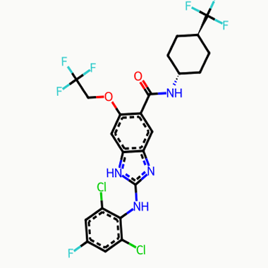 O=C(N[C@H]1CC[C@H](C(F)(F)F)CC1)c1cc2nc(Nc3c(Cl)cc(F)cc3Cl)[nH]c2cc1OCC(F)(F)F